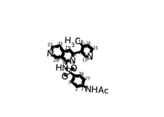 CC(=O)Nc1ccc(S(=O)(=O)Nc2nc(-c3cnccc3C)cc3ccncc23)cc1